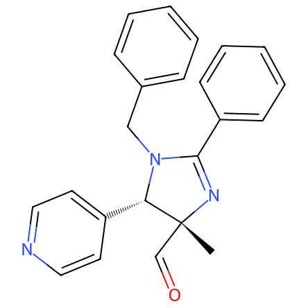 C[C@]1(C=O)N=C(c2ccccc2)N(Cc2ccccc2)[C@H]1c1ccncc1